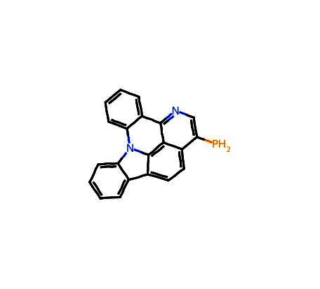 Pc1cnc2c3ccccc3n3c4ccccc4c4ccc1c2c43